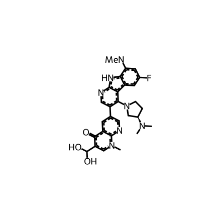 CNc1cc(F)cc2c1[nH]c1ncc(-c3cnc4c(c3)c(=O)c(C(O)O)cn4C)c(N3CC[C@@H](N(C)C)C3)c12